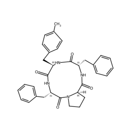 Cc1ccc(C[C@H]2NC(=O)[C@H](Cc3ccccc3)NC(=O)[C@H]3CCCN3C(=O)[C@H](Cc3ccccc3)NC2=O)cc1